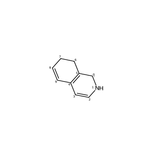 [CH]1NC=CC2=C1CCC=C2